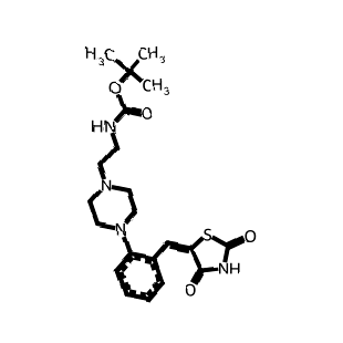 CC(C)(C)OC(=O)NCCN1CCN(c2ccccc2C=C2SC(=O)NC2=O)CC1